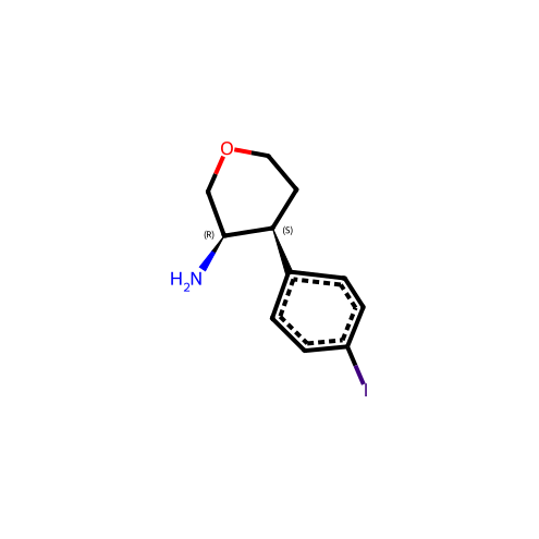 N[C@H]1COCC[C@H]1c1ccc(I)cc1